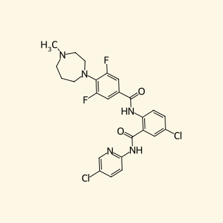 CN1CCCN(c2c(F)cc(C(=O)Nc3ccc(Cl)cc3C(=O)Nc3ccc(Cl)cn3)cc2F)CC1